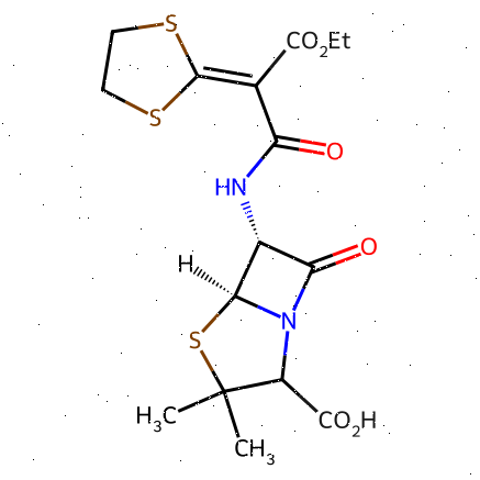 CCOC(=O)C(C(=O)N[C@@H]1C(=O)N2C(C(=O)O)C(C)(C)S[C@@H]12)=C1SCCS1